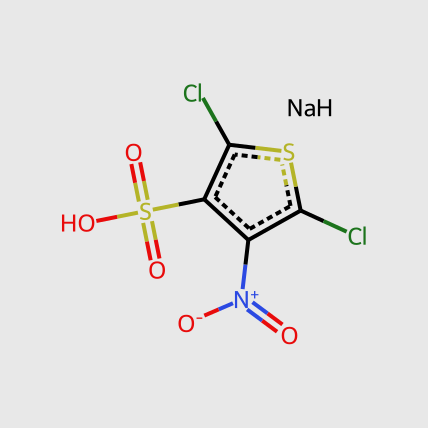 O=[N+]([O-])c1c(Cl)sc(Cl)c1S(=O)(=O)O.[NaH]